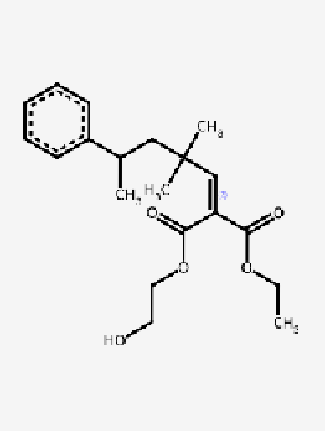 CCOC(=O)/C(=C/C(C)(C)CC(C)c1ccccc1)C(=O)OCCO